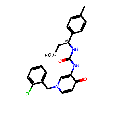 Cc1ccc([C@H](CC(=O)O)NC(=O)Nc2cn(Cc3ccccc3Cl)ccc2=O)cc1